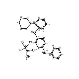 O=C(O)C(F)(F)F.c1ccc(Nc2ccc(Oc3ncccc3C3CCCCC3)cc2)nc1